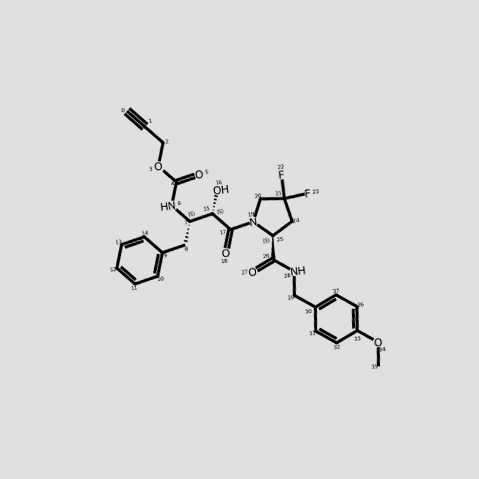 C#CCOC(=O)N[C@@H](Cc1ccccc1)[C@H](O)C(=O)N1CC(F)(F)C[C@H]1C(=O)NCc1ccc(OC)cc1